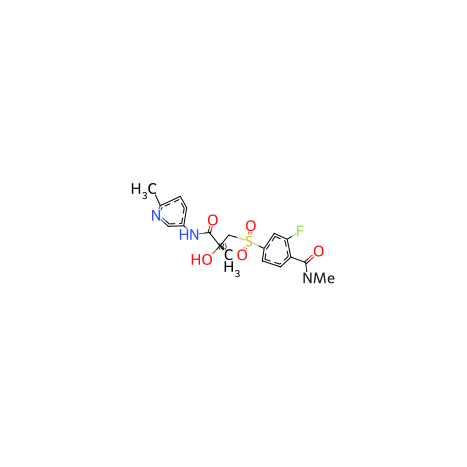 CNC(=O)c1ccc(S(=O)(=O)C[C@](C)(O)C(=O)Nc2ccc(C)nc2)cc1F